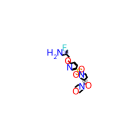 NC/C(=C\F)COc1ccc(S(=O)(=O)N2CC[C@H](C(=O)N3CCOCC3)C2)cn1